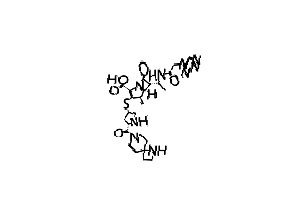 CC(NC(=O)Cn1cnnn1)[C@H]1C(=O)N2C(C(=O)O)=C(S[C@@H]3CN[C@H](C(=O)N4CCC5(CCN5)CC4)C3)[C@H](C)[C@H]12